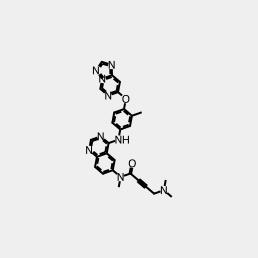 Cc1cc(Nc2ncnc3ccc(N(C)C(=O)C#CCN(C)C)cc23)ccc1Oc1cc2ncnn2cn1